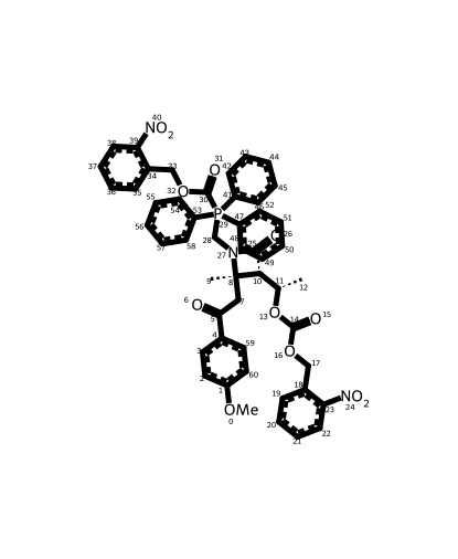 COc1ccc(C(=O)C[C@]2(C)[C@@H]([C@H](C)OC(=O)OCc3ccccc3[N+](=O)[O-])C(=O)N2CP(C(=O)OCc2ccccc2[N+](=O)[O-])(c2ccccc2)(c2ccccc2)c2ccccc2)cc1